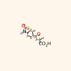 C=C(CC(=O)c1ccc2c(c1)sc(=O)n2C)C(=O)O